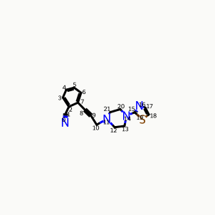 N#Cc1ccccc1C#CCN1CCN(c2nccs2)CC1